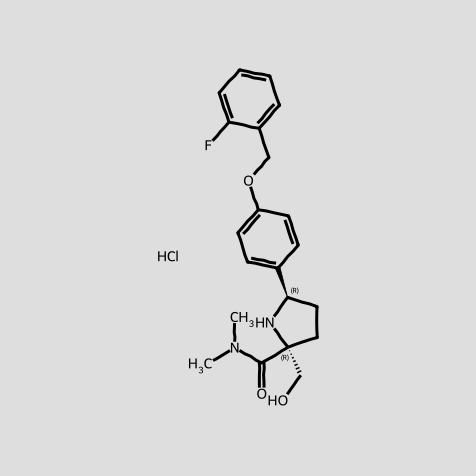 CN(C)C(=O)[C@]1(CO)CC[C@H](c2ccc(OCc3ccccc3F)cc2)N1.Cl